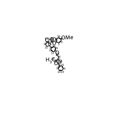 COc1ccc(OC(=O)N2[C@@H](c3ccc(OCCc4nc(-c5ccccc5)oc4C)cc3)CC[C@@H]2C=O)cc1